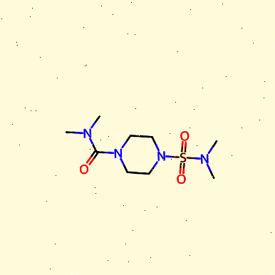 CN(C)C(=O)N1CCN(S(=O)(=O)N(C)C)CC1